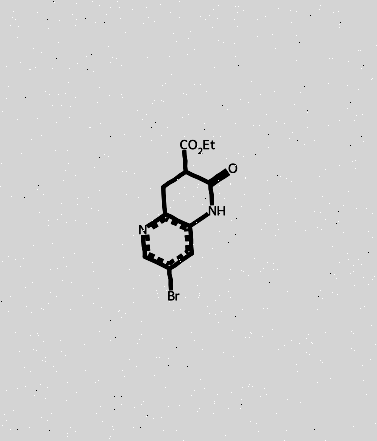 CCOC(=O)C1Cc2ncc(Br)cc2NC1=O